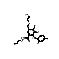 O=C(NOCCO)c1cc(C=NCCO)c(F)c(F)c1Nc1ccc(I)cc1F